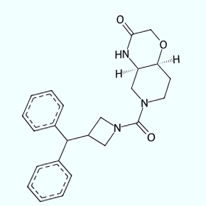 O=C1CO[C@H]2CCN(C(=O)N3CC(C(c4ccccc4)c4ccccc4)C3)C[C@H]2N1